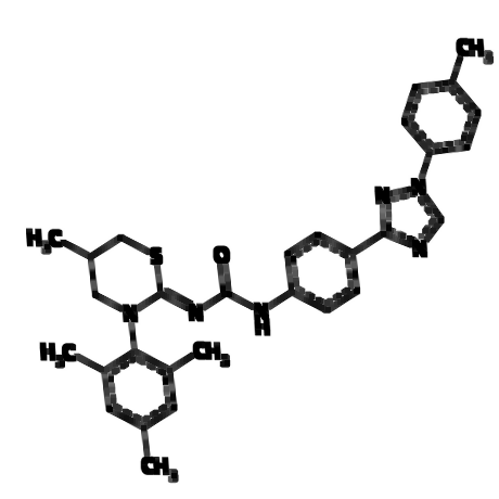 Cc1ccc(-n2cnc(-c3ccc(NC(=O)/N=C4\SCC(C)CN4c4c(C)cc(C)cc4C)cc3)n2)cc1